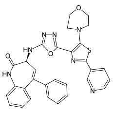 O=C1Nc2ccccc2C(c2ccccc2)=C[C@@H]1Nc1nnc(-c2nc(-c3cccnc3)sc2N2CCOCC2)o1